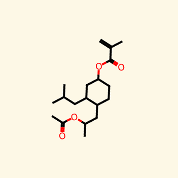 C=C(C)C(=O)OC1CCC(CC(C)OC(C)=O)C(CC(C)C)C1